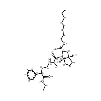 CCCCCCCCOC(=O)[C@@H]1C[C@@H]2CCC[C@@H]2N1C(=O)[C@@H](C)NCCC(C(=O)OCC)c1ccccc1